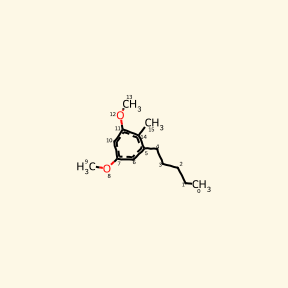 CCCCCc1cc(OC)cc(OC)c1C